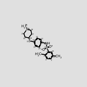 Cc1ccc(C)c(S(=O)(=O)Nc2ccc(SC3CCN(C)CC3)cc2)c1